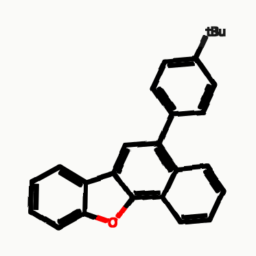 CC(C)(C)c1ccc(-c2cc3c4ccccc4oc3c3ccccc23)cc1